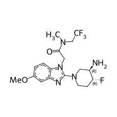 COc1ccc2c(c1)nc(N1CC[C@@H](F)[C@H](N)C1)n2CC(=O)N(C)CC(F)(F)F